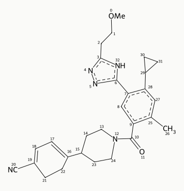 COCCc1nnc(-c2cc(C(=O)N3CCC(C4=CC=C(C#N)CC4)CC3)c(C)cc2C2CC2)[nH]1